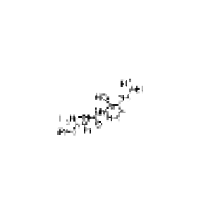 CCC(CC)COc1ccnc(OC(=O)NC(=O)[C@@H](N)CC(C)C)c1O